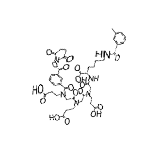 Cc1cccc(C(=O)NCCCC[C@@H](NC(=O)CN(CCC(=O)O)C(=O)CN(CCC(=O)O)C(=O)CN(CCC(=O)O)C(=O)c2cccc(C(=O)ON3C(=O)CCC3=O)c2)C(=O)O)c1